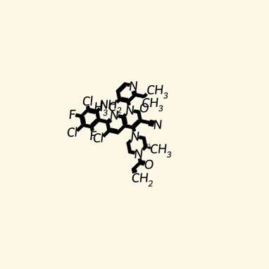 C=CC(=O)N1CCN(c2c(C#N)c(=O)n(-c3c(C)ccnc3C(C)C)c3nc(-c4c(N)c(Cl)c(F)c(Cl)c4F)c(Cl)cc23)C[C@H]1C